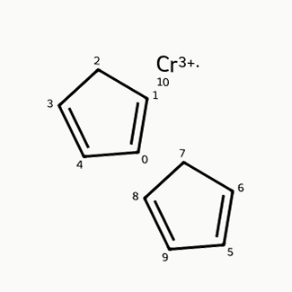 C1=CCC=C1.C1=CCC=C1.[Cr+3]